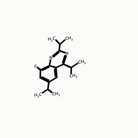 CC(C)c1cc(F)c2nc(C(C)C)nc(C(C)C)c2c1